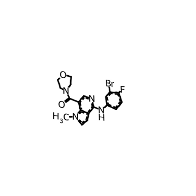 Cn1ccc2c(Nc3ccc(F)c(Br)c3)ncc(C(=O)N3CCOCC3)c21